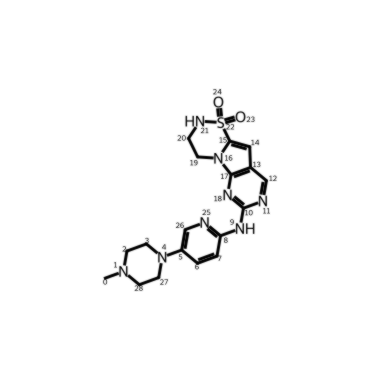 CN1CCN(c2ccc(Nc3ncc4cc5n(c4n3)CCNS5(=O)=O)nc2)CC1